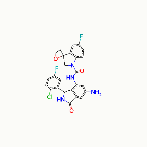 Nc1cc(NC(=O)N2CC3(CCO3)c3cc(F)ccc32)c2c(c1)C(=O)NC2c1cc(F)ccc1Cl